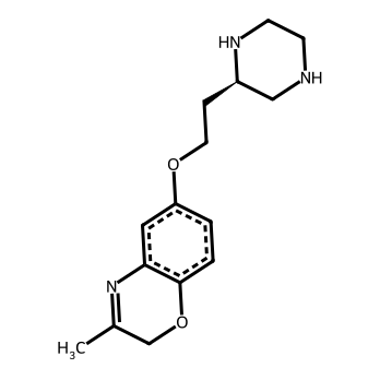 CC1=Nc2cc(OCC[C@@H]3CNCCN3)ccc2OC1